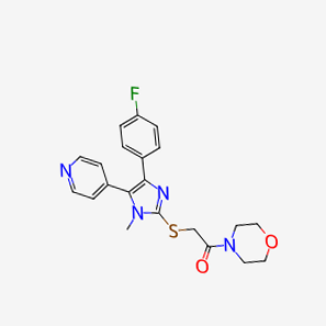 Cn1c(SCC(=O)N2CCOCC2)nc(-c2ccc(F)cc2)c1-c1ccncc1